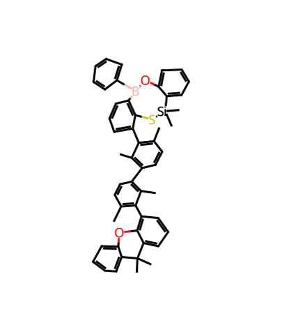 Cc1ccc(-c2ccc(C)c(-c3cccc4c3S[Si](C)(C)c3ccccc3OB4c3ccccc3)c2C)c(C)c1-c1cccc2c1Oc1ccccc1C2(C)C